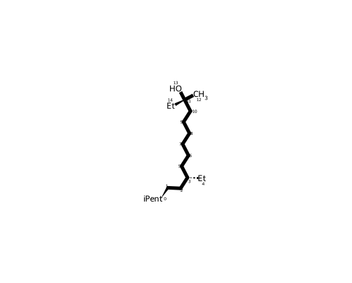 CCC[C@H](C)CC[C@@H](CC)CCCCCC[C@@](C)(O)CC